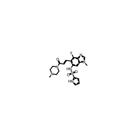 CN1CCN(C(=O)/C=C/c2c(NS(=O)(=O)c3ccc[nH]3)cc3c(ncn3C)c2F)CC1